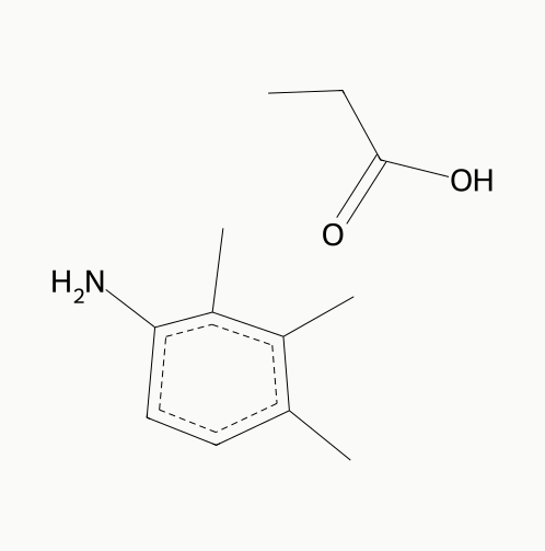 CCC(=O)O.Cc1ccc(N)c(C)c1C